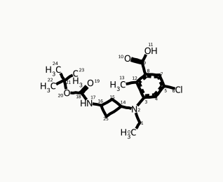 CCN(c1cc(Cl)cc(C(=O)O)c1C)C1CC(NC(=O)OC(C)(C)C)C1